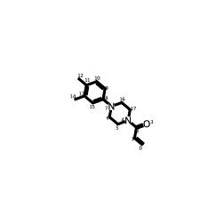 C=CC(=O)N1CCN(c2ccc(C)c(C)c2)CC1